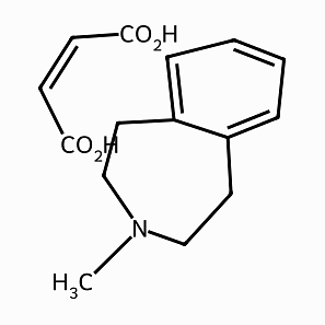 CN1CCc2ccccc2CC1.O=C(O)/C=C\C(=O)O